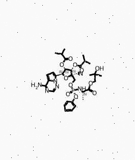 CC(C)C(=O)O[C@H]1[C@H](c2ccc3c(N)ncnn23)O[C@](C#N)(COP(=O)(N[C@@H](C)C(=O)OCC(C)(C)O)Oc2ccccc2)[C@H]1OC(=O)C(C)C